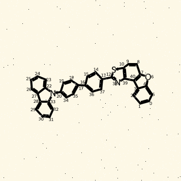 c1ccc2c(c1)oc1ccc3sc(-c4ccc(-c5ccc(-n6c7ccccc7c7ccccc76)cc5)cc4)nc3c12